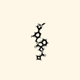 Cn1cc(-c2ccc(CN3C(=O)C4(CN(C(=O)C5CCC5)C4)c4ccccc43)c(F)c2)cn1